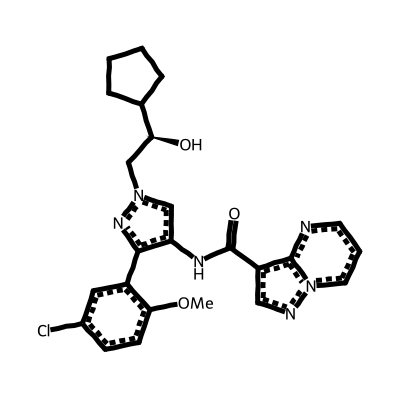 COc1ccc(Cl)cc1-c1nn(C[C@H](O)C2CCCC2)cc1NC(=O)c1cnn2cccnc12